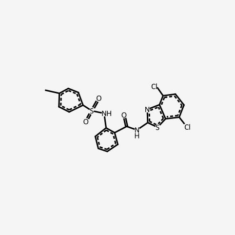 Cc1ccc(S(=O)(=O)Nc2ccccc2C(=O)Nc2nc3c(Cl)ccc(Cl)c3s2)cc1